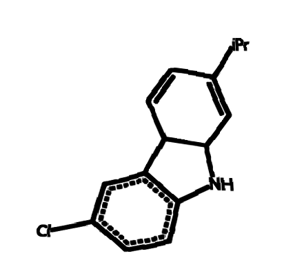 CC(C)C1=CC2Nc3ccc(Cl)cc3C2C=C1